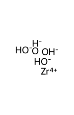 [OH-].[OH-].[OH-].[OH-].[Zr+4]